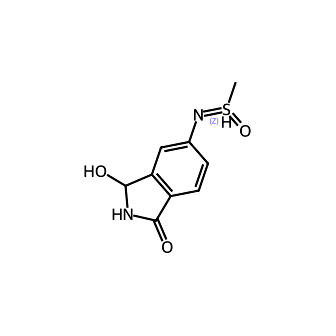 C/[SH](=O)=N/c1ccc2c(c1)C(O)NC2=O